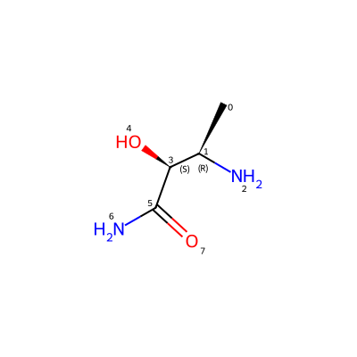 C[C@@H](N)[C@H](O)C(N)=O